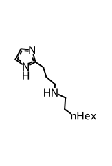 CCCCCCCCNCCCc1ncc[nH]1